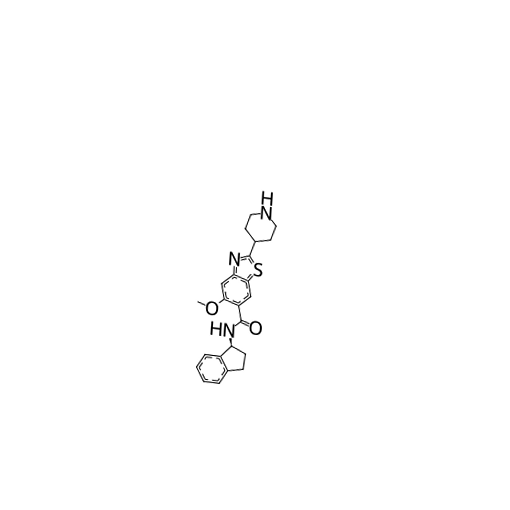 COc1cc2nc(C3CCNCC3)sc2cc1C(=O)N[C@H]1CCc2ccccc21